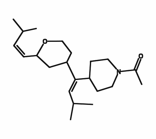 CC(=O)N1CCC(/C(=C\C(C)C)C2CCOC(/C=C\C(C)C)C2)CC1